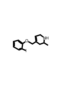 CC1CC(COc2ccccc2I)=CCN1